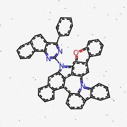 c1ccc(-c2nc(-n3c4cc5ccccc5c5c6cccc7c8ccccc8n(c8cc9c%10ccccc%10oc9c3c8c54)c76)nc3c2ccc2ccccc23)cc1